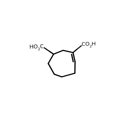 O=C(O)C1=CCCCCC(C(=O)O)C1